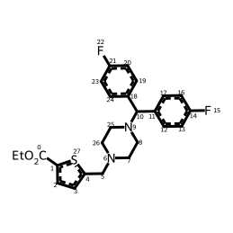 CCOC(=O)c1ccc(CN2CCN(C(c3ccc(F)cc3)c3ccc(F)cc3)CC2)s1